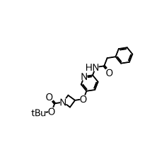 CC(C)(C)OC(=O)N1CC(Oc2ccc(NC(=O)Cc3ccccc3)nc2)C1